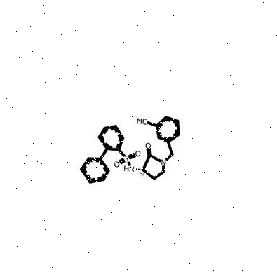 N#Cc1cccc(CN2CC[C@H](NS(=O)(=O)c3ccccc3-c3ccccc3)C2=O)c1